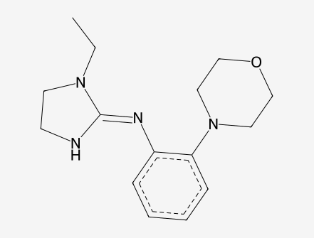 CCN1CCN/C1=N\c1ccccc1N1CCOCC1